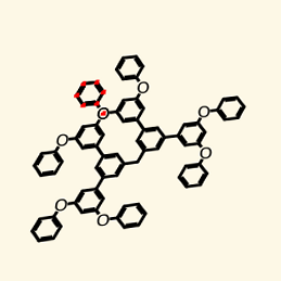 c1ccc(Oc2cc(Oc3ccccc3)cc(-c3cc(Cc4cc(-c5cc(Oc6ccccc6)cc(Oc6ccccc6)c5)cc(-c5cc(Oc6ccccc6)cc(Oc6ccccc6)c5)c4)cc(-c4cc(Oc5ccccc5)cc(Oc5ccccc5)c4)c3)c2)cc1